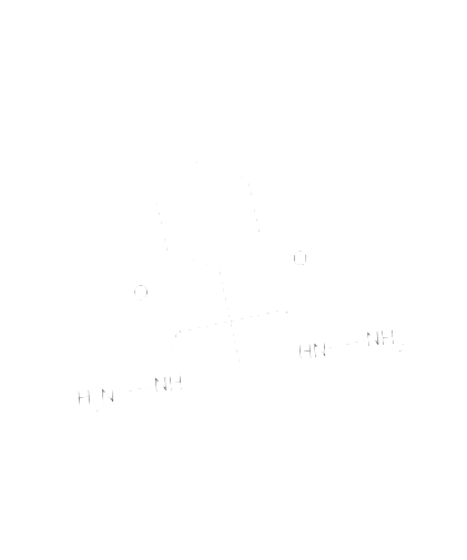 CC(C(=O)NN)(C(=O)NN)C1CCCCC1